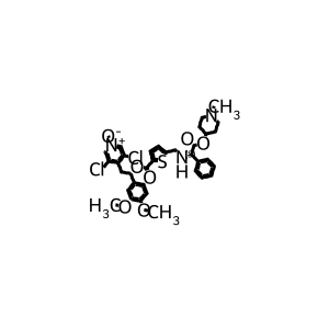 COc1ccc(C(Cc2c(Cl)c[n+]([O-])cc2Cl)OC(=O)c2ccc(CN[C@H](C(=O)OC3CCN(C)CC3)c3ccccc3)s2)cc1OC